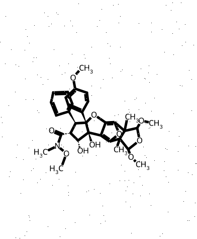 COc1ccc([C@@]23Oc4c5oc(c4[C@]2(O)[C@H](O)[C@H](C(=O)N(C)OC)[C@H]3c2ccccc2)C2(C)C(OC)OC(OC)C52C)cc1